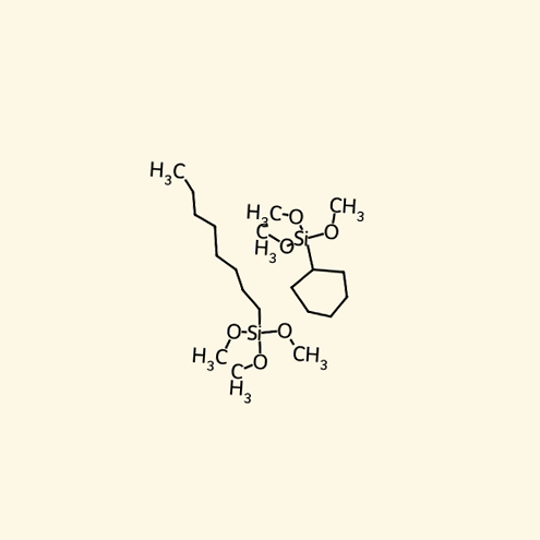 CCCCCCCC[Si](OC)(OC)OC.CO[Si](OC)(OC)C1CCCCC1